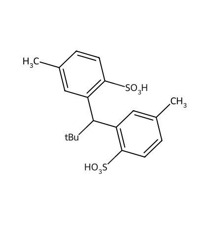 Cc1ccc(S(=O)(=O)O)c(C(c2cc(C)ccc2S(=O)(=O)O)C(C)(C)C)c1